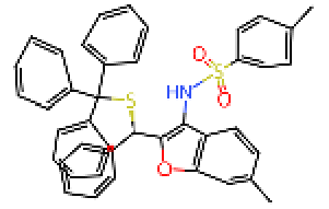 Cc1ccc(S(=O)(=O)Nc2c([C@H](SC(c3ccccc3)(c3ccccc3)c3ccccc3)c3ccccc3)oc3cc(C)ccc23)cc1